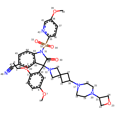 CCOc1ccc(OC)cc1C1(N2CC3(CC(N4CCN(C5COC5)CC4)C3)C2)C(=O)N(S(=O)(=O)c2ccc(OC)cn2)c2ccc(C#N)cc21